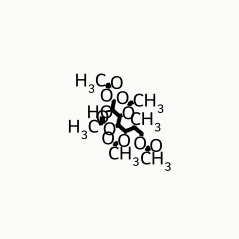 CC(=O)OCC(C)[C@@H](OC(C)=O)C(OC(C)=O)C(OC(C)=O)[C@@H](O)COC(C)=O